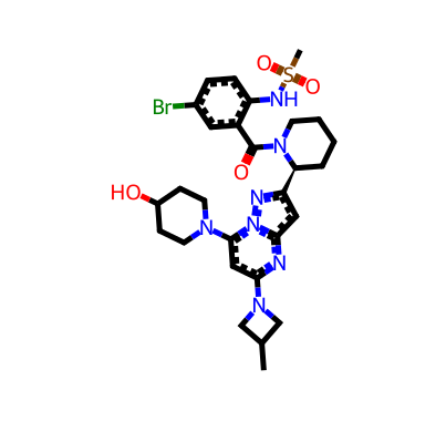 CC1CN(c2cc(N3CCC(O)CC3)n3nc([C@@H]4CCCCN4C(=O)c4cc(Br)ccc4NS(C)(=O)=O)cc3n2)C1